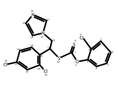 S=C(Oc1ccccc1Cl)SC(Cn1ccnc1)c1ccc(Cl)cc1Cl